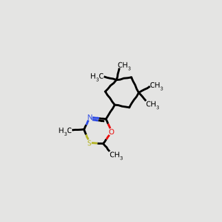 CC1N=C(C2CC(C)(C)CC(C)(C)C2)OC(C)S1